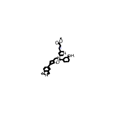 COC(=O)/C=C/c1cncc(N(CC2CC(c3ccc4c(cnn4C)c3)C2)C(=O)C2CCCC(O)C2)c1